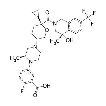 C[C@H]1CN([C@@H]2CC[C@@](C(=O)N3Cc4cc(C(F)(F)F)ccc4[C@](C)(O)C3)(C3CC3)OC2)CCN1c1ccc(F)c(C(=O)O)c1